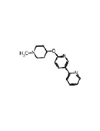 CN1CCC(Oc2ccc(-c3ccccn3)cn2)CC1